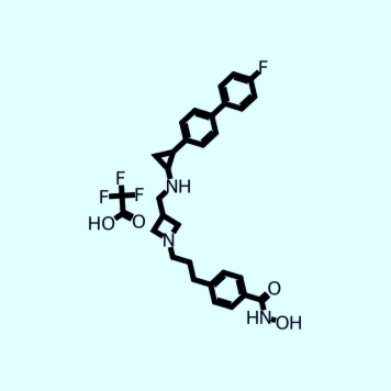 O=C(NO)c1ccc(CCCN2CC(CNC3CC3c3ccc(-c4ccc(F)cc4)cc3)C2)cc1.O=C(O)C(F)(F)F